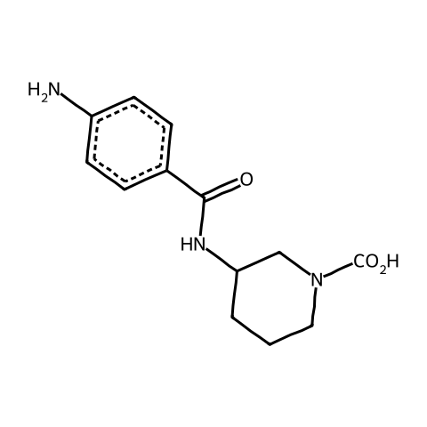 Nc1ccc(C(=O)NC2CCCN(C(=O)O)C2)cc1